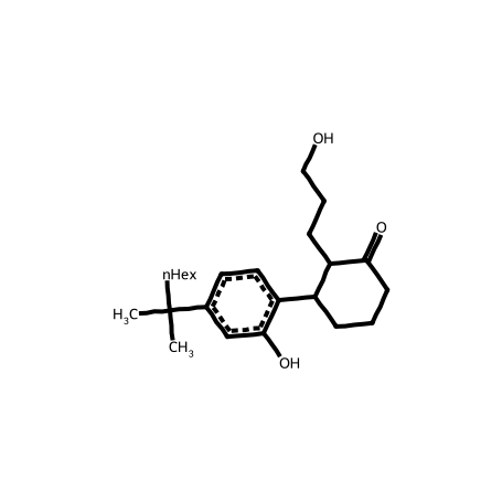 CCCCCCC(C)(C)c1ccc(C2CCCC(=O)C2CCCO)c(O)c1